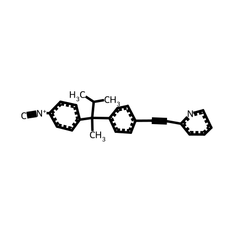 [C-]#[N+]c1ccc(C(C)(c2ccc(C#Cc3ccccn3)cc2)C(C)C)cc1